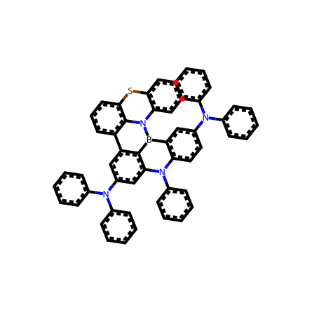 c1ccc(N(c2ccccc2)c2ccc3c(c2)B2c4c(cc(N(c5ccccc5)c5ccccc5)cc4N3c3ccccc3)-c3cccc4c3N2c2ccccc2S4)cc1